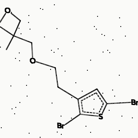 CC1(COCCc2cc(Br)sc2Br)COC1